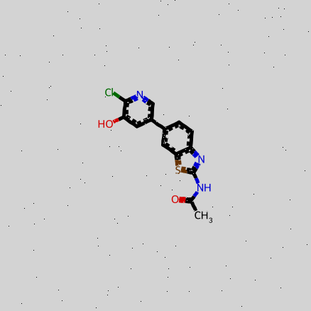 CC(=O)Nc1nc2ccc(-c3cnc(Cl)c(O)c3)cc2s1